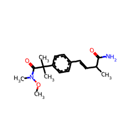 CON(C)C(=O)C(C)(C)c1ccc(C=CC(C)C(N)=O)cc1